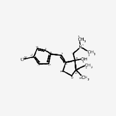 CN(C)CC1(O)C(=Cc2ccc(Cl)cc2)CCC1(C)C